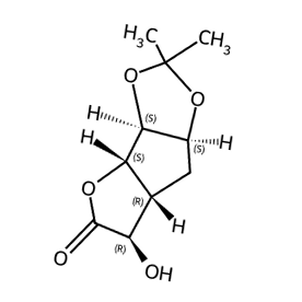 CC1(C)O[C@@H]2[C@H]3OC(=O)[C@H](O)[C@H]3C[C@@H]2O1